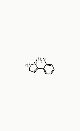 CN1NCC=C1c1ccccc1N